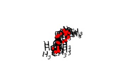 C=CC(=O)N(C)C1(C)C[C@@H](C)[C@@H](N(C)C(=O)N(C)[C@H](C(=O)N[C@H]2Cc3nc(cs3)-c3ccc4c(c3)c(c(-c3cccnc3[C@H](C)OC)n4CC)CC(C)(C)COC(=O)[C@@]3([SiH3])CCCN(N3)C2=O)C(C)C)C1